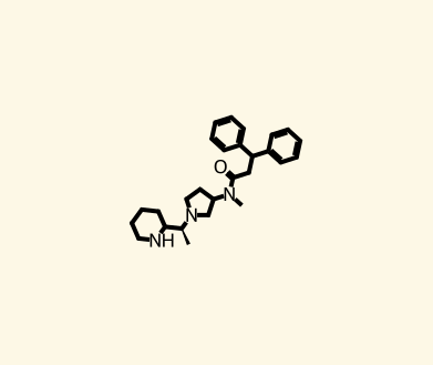 C[C@@H](C1CCCCN1)N1CCC(N(C)C(=O)CC(c2ccccc2)c2ccccc2)C1